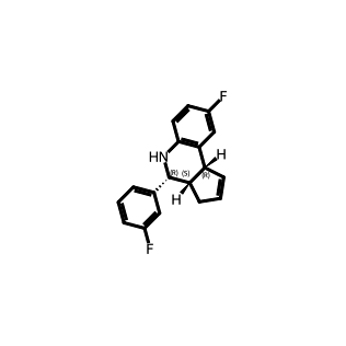 Fc1cccc([C@@H]2Nc3ccc(F)cc3[C@@H]3C=CC[C@@H]32)c1